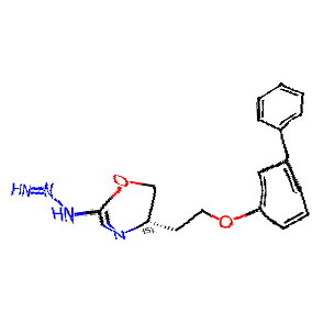 N=NNC1=N[C@@H](CCOc2cccc(-c3ccccc3)c2)CO1